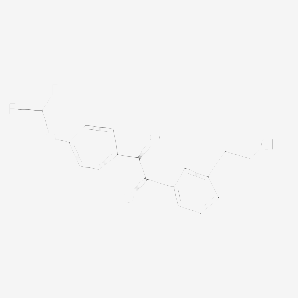 CCCc1cccc(C(=O)C(=O)c2ccc(OC(F)F)cc2)c1